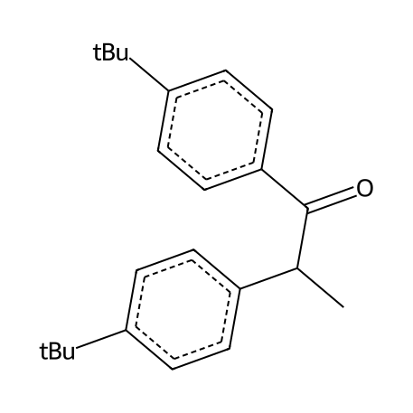 CC(C(=O)c1ccc(C(C)(C)C)cc1)c1ccc(C(C)(C)C)cc1